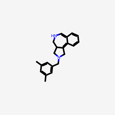 Cc1cc(C)cc(CN2CC3=c4ccccc4=CNCC3C2)c1